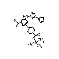 CC(C)(C)OC(=O)N1CCN(c2cc(Nc3ncn(-c4ccccc4)n3)cc(C(F)F)c2)CC1